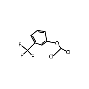 FC(F)(F)c1cccc(OC(Cl)Cl)c1